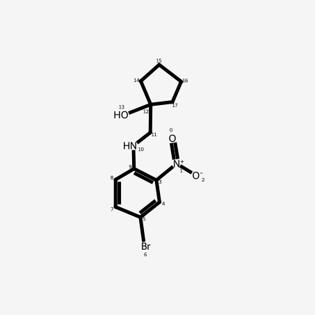 O=[N+]([O-])c1cc(Br)ccc1NCC1(O)CCCC1